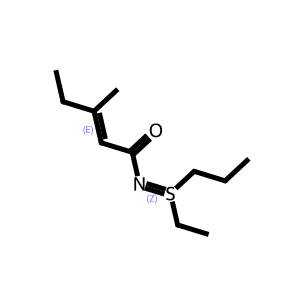 CCC/S(CC)=N\C(=O)/C=C(\C)CC